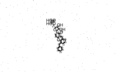 O=c1ccn([C@@H]2O[C@H](COP(=O)(O)O)[C@H](O)[C@@H]2O)c(=O)n1Cc1cc(Cc2ccccc2)ccn1